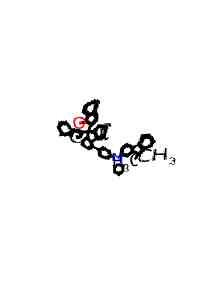 CC1(C)c2ccccc2-c2ccc(N(c3ccccc3)c3ccc(-c4cccc5c4-c4ccccc4C54c5ccc6ccccc6c5Oc5c4ccc4ccccc54)cc3)cc21